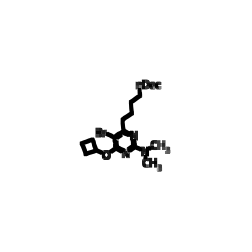 CCCCCCCCCCCCCCc1nc(N(C)C)nc(OC2CCC2)c1Br